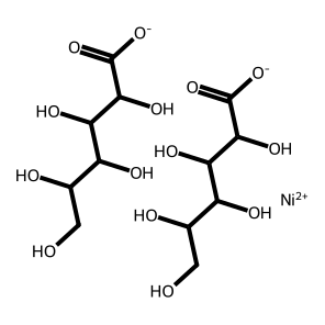 O=C([O-])C(O)C(O)C(O)C(O)CO.O=C([O-])C(O)C(O)C(O)C(O)CO.[Ni+2]